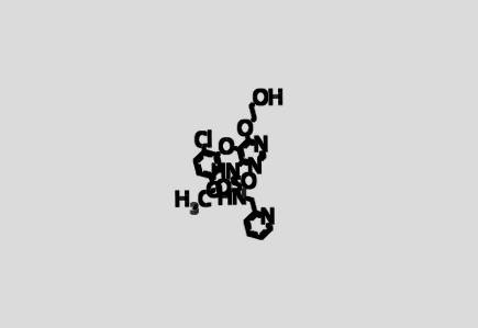 COc1ccc(Cl)c(Oc2c(NS(=O)(=O)NCc3ccccn3)ncnc2OCCO)c1